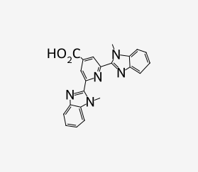 Cn1c(-c2cc(C(=O)O)cc(-c3nc4ccccc4n3C)n2)nc2ccccc21